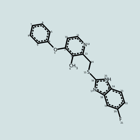 Cc1c(Oc2ccccc2)ccnc1CSc1nc2cc(F)ccc2[nH]1